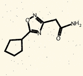 NC(=O)Cc1noc(C2CCCC2)n1